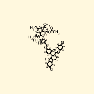 CC(=O)OCC1OC(N2C=C(COc3ccc([C@H]4c5[nH]c6ccc(Cl)cc6c5CCN4C(=O)Oc4ccc(Cl)cc4)cc3)NN2C)C(OC(C)=O)C(OC(C)=O)C1OC(C)=O